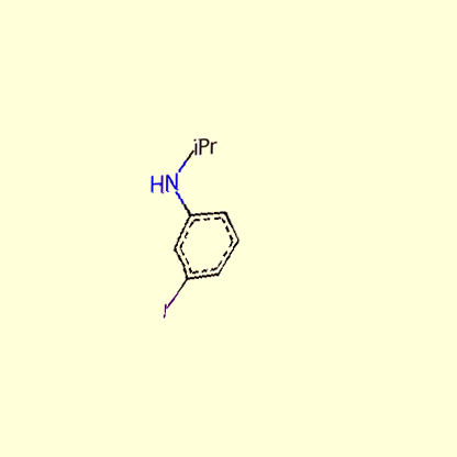 CC(C)Nc1cccc(I)c1